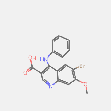 COc1cc2ncc(C(=O)O)c(Nc3ccccc3)c2cc1Br